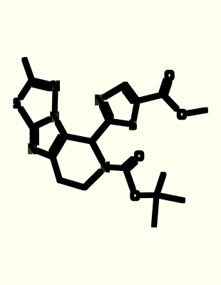 COC(=O)c1cnc(C2c3c(nc4sc(C)nn34)CCN2C(=O)OC(C)(C)C)s1